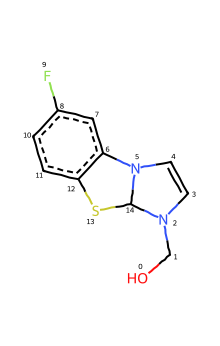 OCN1C=CN2c3cc(F)ccc3SC12